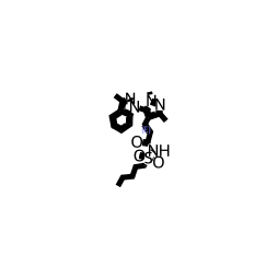 CCCCCS(=O)(=O)NC(=O)/C=C/c1c(C)nn(C)c1-n1nc(C)c2ccccc21